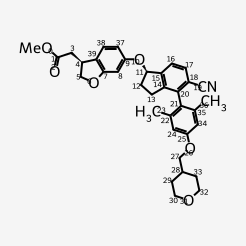 COC(=O)C[C@@H]1COc2cc(O[C@@H]3CCc4c3ccc(C#N)c4-c3c(C)cc(OCC4CCOCC4)cc3C)ccc21